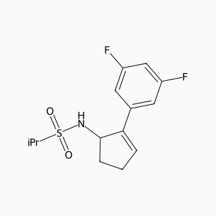 CC(C)S(=O)(=O)NC1CCC=C1c1cc(F)cc(F)c1